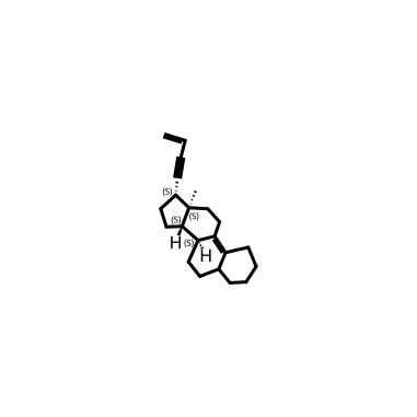 C=CC#C[C@H]1CC[C@H]2[C@@H]3CCC4CCCCC4=C3CC[C@]12C